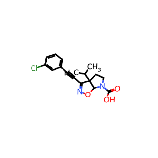 CC(C)C12CCN(C(=O)O)C1ON=C2C#Cc1cccc(Cl)c1